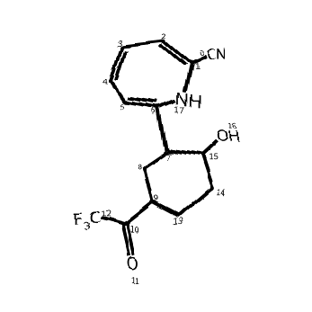 N#CC1=CC=CC=C(C2CC(C(=O)C(F)(F)F)CCC2O)N1